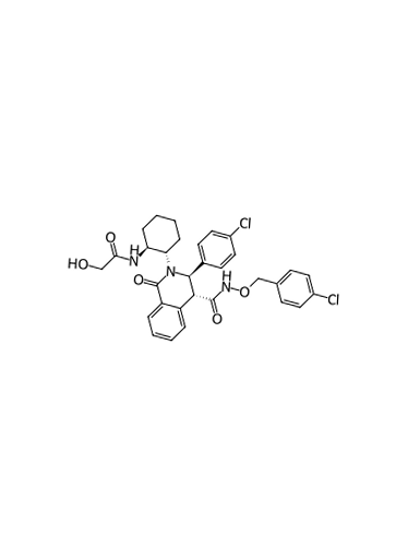 O=C(CO)N[C@H]1CCCC[C@@H]1N1C(=O)c2ccccc2[C@@H](C(=O)NOCc2ccc(Cl)cc2)[C@@H]1c1ccc(Cl)cc1